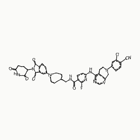 N#Cc1ccc(N2CCc3c(ncnc3Nc3ccc(C(=O)NCC4CCN(c5ccc6c(c5)C(=O)N(C5CCC(=O)NC5=O)C6=O)CC4)c(F)n3)C2)cc1Cl